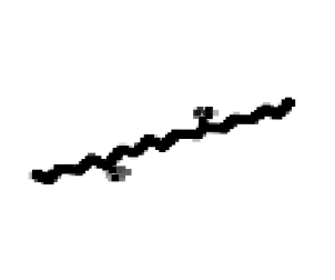 CCCCCCC(O)CCCCCCC(O)CCCCC